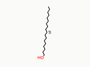 CCCCCCCCCCCCCCCCCCO.[Ti]